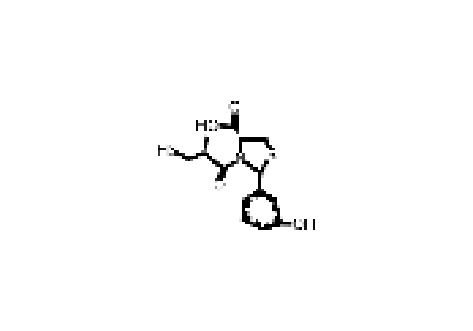 C[C@H](CS)C(=O)N1C(c2cccc(O)c2)SC[C@H]1C(=O)O